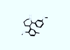 COc1cccc(C2NCCCC2c2cc(C)ccc2OC)c1